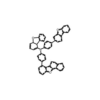 C1=CC2Oc3ccccc3C2C(N(c2ccc(-c3ccc4c(c3)oc3ccccc34)cc2)c2ccc(-c3cccc4oc5c6ccccc6ccc5c34)cc2)=C1